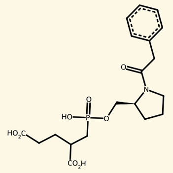 O=C(O)CCC(CP(=O)(O)OC[C@@H]1CCCN1C(=O)Cc1ccccc1)C(=O)O